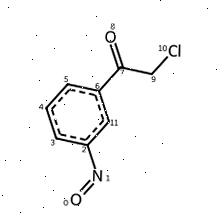 O=Nc1cccc(C(=O)CCl)c1